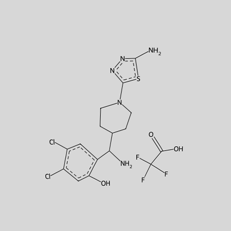 Nc1nnc(N2CCC(C(N)c3cc(Cl)c(Cl)cc3O)CC2)s1.O=C(O)C(F)(F)F